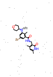 CCCN(c1cc(Br)cc(C(=O)NCc2c(C)cc(C)[nH]c2=O)c1C)C1CCOCC1